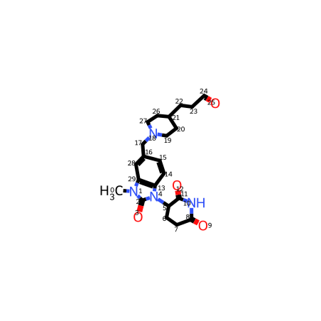 Cn1c(=O)n(C2CCC(=O)NC2=O)c2ccc(CN3CCC(CCC=O)CC3)cc21